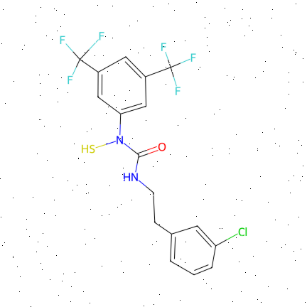 O=C(NCCc1cccc(Cl)c1)N(S)c1cc(C(F)(F)F)cc(C(F)(F)F)c1